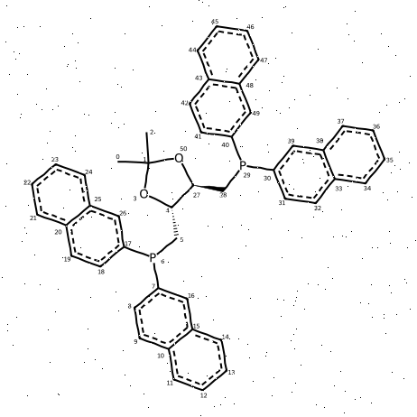 CC1(C)O[C@@H](CP(c2ccc3ccccc3c2)c2ccc3ccccc3c2)[C@H](CP(c2ccc3ccccc3c2)c2ccc3ccccc3c2)O1